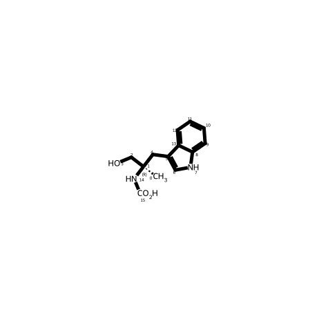 C[C@](CO)(Cc1c[nH]c2ccccc12)NC(=O)O